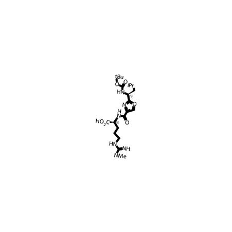 CNC(=N)NCCC[C@H](NC(=O)c1coc([C@H](CC(C)C)NC(=O)OC(C)(C)C)n1)C(=O)O